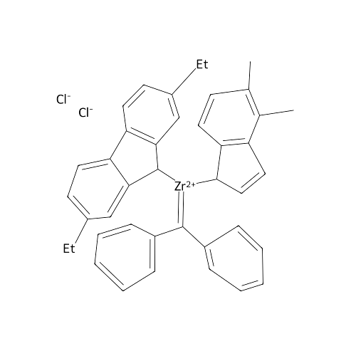 CCc1ccc2c(c1)[CH]([Zr+2](=[C](c1ccccc1)c1ccccc1)[CH]1C=Cc3c1ccc(C)c3C)c1cc(CC)ccc1-2.[Cl-].[Cl-]